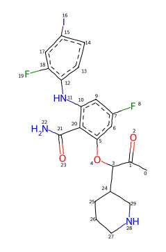 CC(=O)C(Oc1cc(F)cc(Nc2ccc(I)cc2F)c1C(N)=O)C1CCCNC1